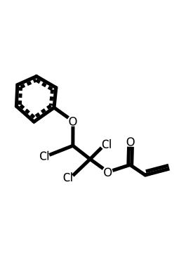 C=CC(=O)OC(Cl)(Cl)C(Cl)Oc1ccccc1